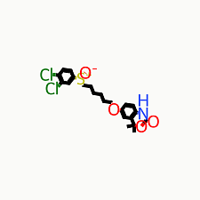 CC1(C)OC(=O)Nc2ccc(OCCCCCC[S+]([O-])c3ccc(Cl)c(Cl)c3)cc21